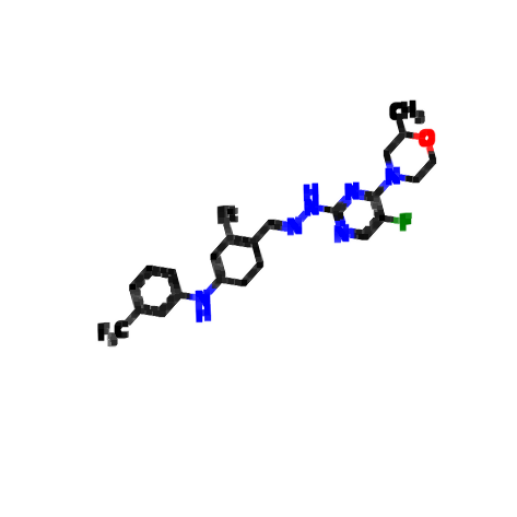 CCC1=C(/C=N/Nc2ncc(F)c(N3CCOC(C)C3)n2)CCC(Nc2cccc(C(F)(F)F)c2)=C1